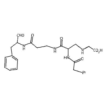 CC(C)CC(=O)NC(CNCC(=O)O)C(=O)NCCC(=O)NC(C=O)Cc1ccccc1